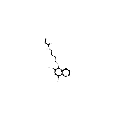 C=CC(=O)NCCCCOc1c(Br)cc(Br)c2ccccc12